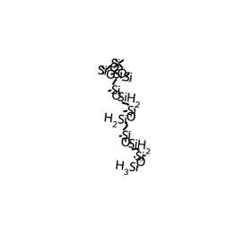 C[Si](C)(C)O[Si](CC[Si](C)(C)O[SiH2]CC[Si](C)(C)O[SiH2]CC[Si](C)(C)O[SiH2]CC[Si](C)(C)O[SiH3])(O[Si](C)(C)C)O[Si](C)(C)C